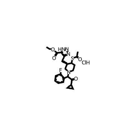 CCOC(=O)c1[nH]nnc1C=C1CN(C(C(=O)C2CC2)c2ccccc2F)CCC1SC(C)=O.Cl